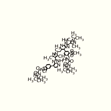 Cc1nn(C(C)C)c(C)c1-c1nc2c(-c3ccc(CNC(=O)c4nc(C(C)(C)C)no4)c(S(C)(=O)=O)c3)c(CC(C)n3nc(C)c(-c4nc5c(-c6ccc(CNC(=O)c7nc(C(C)(C)C)no7)c(Cl)c6)ccnc5[nH]4)c3C)cnc2[nH]1